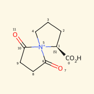 O=C(O)[C@@H]1CCC[N+]12C(=O)CCC2=O